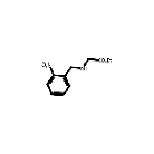 CCOC(=O)CNCc1ccccc1[N+](=O)[O-]